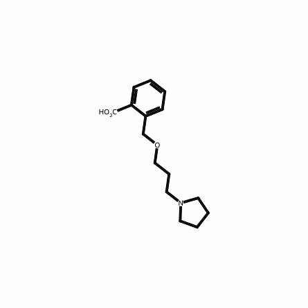 O=C(O)c1ccccc1COCCCN1CCCC1